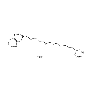 Br.C1=CN(CCCCCCCCCCCCCc2cccnc2)CC2=C1CCCC2